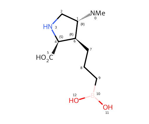 CN[C@H]1CN[C@H](C(=O)O)[C@@H]1CCCB(O)O